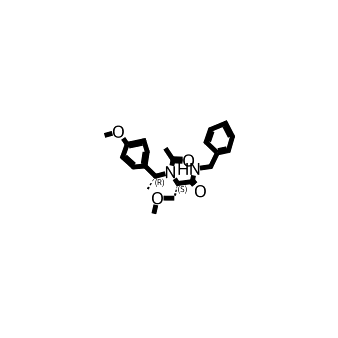 COC[C@@H](C(=O)NCc1ccccc1)N(C(C)=O)[C@H](C)c1ccc(OC)cc1